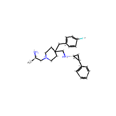 C[C@@H](N)CN1CCC(CN[C@@H]2CC2c2ccccc2)(Cc2ccc(F)cc2)CC1